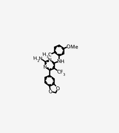 COc1ccc(C)c(Nc2nc(N)nc(-c3ccc4c(c3)OCO4)c2C(F)(F)F)c1